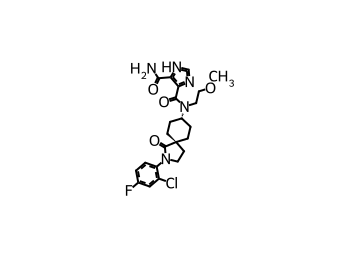 COCCN(C(=O)c1nc[nH]c1C(N)=O)[C@H]1CC[C@]2(CCN(c3ccc(F)cc3Cl)C2=O)CC1